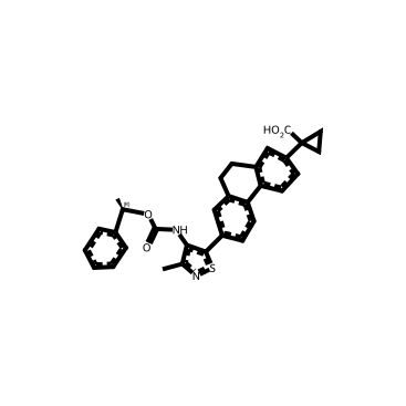 Cc1nsc(-c2ccc3c(c2)CCc2cc(C4(C(=O)O)CC4)ccc2-3)c1NC(=O)O[C@H](C)c1ccccc1